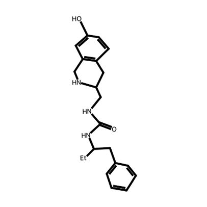 CCC(Cc1ccccc1)NC(=O)NCC1Cc2ccc(O)cc2CN1